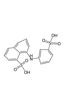 O=S(=O)(O)c1cccc(Nc2cccc3cccc(S(=O)(=O)O)c23)c1